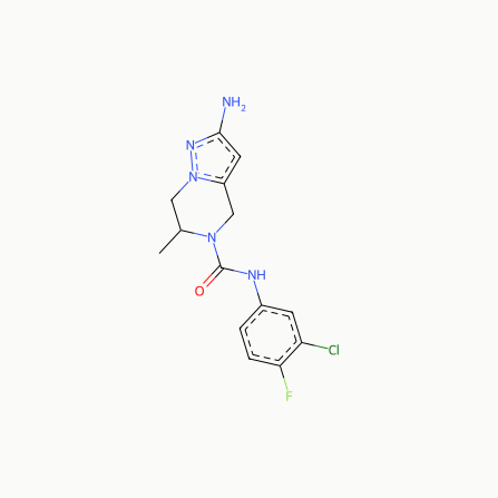 CC1Cn2nc(N)cc2CN1C(=O)Nc1ccc(F)c(Cl)c1